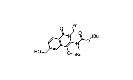 CCCCOc1c(N(C)C(=O)OC(C)(C)C)n(CC(C)C)c(=O)c2ccc(CO)cc12